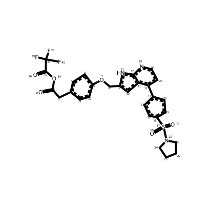 O=C(Cc1ccc(OCc2cc3c(-c4ccc(S(=O)(=O)N5CCCC5)cc4)ccnc3[nH]2)cc1)OC(=O)C(F)(F)F